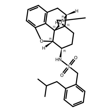 CC(C)Cc1ccccc1CS(=O)(=O)N[C@@H]1CC[C@@]2(O)[C@H]3Cc4cccc5c4[C@@]2(CCN3C)[C@H]1O5